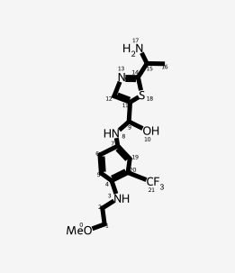 COCCNc1ccc(NC(O)c2cnc(C(C)N)s2)cc1C(F)(F)F